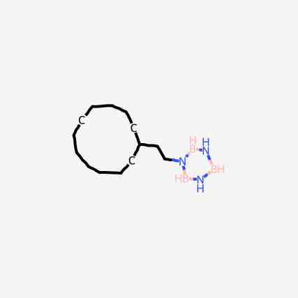 B1NBN(CCC2CCCCCCCCCCC2)BN1